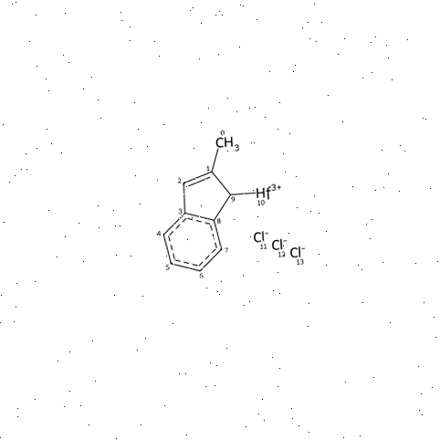 CC1=Cc2ccccc2[CH]1[Hf+3].[Cl-].[Cl-].[Cl-]